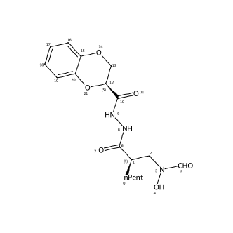 CCCCC[C@H](CN(O)C=O)C(=O)NNC(=O)[C@@H]1COc2ccccc2O1